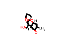 CC1=C[C@H]2O[C@]3(C=C(CO)[C@H]2CC1=O)CCCCO3